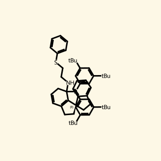 CC(C)(C)c1cc(P(c2cc(C(C)(C)C)cc(C(C)(C)C)c2)C2(NCCSc3ccccc3)CC=CC3=C2[C@@]2(CC3)CCc3ccccc32)cc(C(C)(C)C)c1